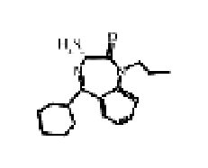 CCCN1C(=O)[C@@H](N)N=C(C2CCCCC2)c2ccccc21